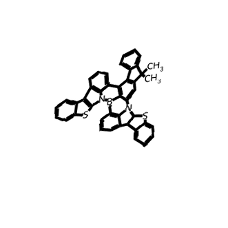 CC1(C)c2ccccc2-c2c1cc1c3c2-c2cccc4c5c6ccccc6sc5n(c24)B3c2cccc3c2N1C1Sc2ccccc2C31